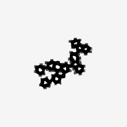 c1ccc(-c2ccc3c(c2)B2c4cc(-c5ccccc5)ccc4Oc4cc(-n5c6ccccc6c6cc(-n7c8ccccc8c8ccccc87)ccc65)cc(c42)O3)cc1